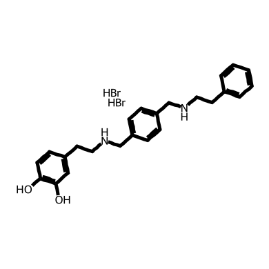 Br.Br.Oc1ccc(CCNCc2ccc(CNCCc3ccccc3)cc2)cc1O